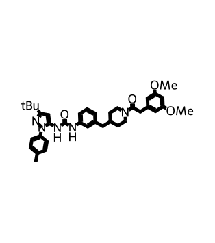 COc1cc(CC(=O)N2CCC(Cc3cccc(NC(=O)Nc4cc(C(C)(C)C)nn4-c4ccc(C)cc4)c3)CC2)cc(OC)c1